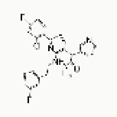 NC(=O)C(c1cccnc1)c1ccc(-c2ccc(F)cc2Cl)nc1NCCc1cccc(F)c1